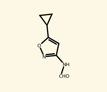 O=CNc1cc(C2CC2)on1